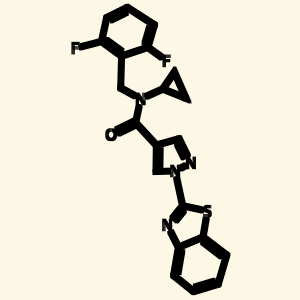 O=C(c1cnn(-c2nc3ccccc3s2)c1)N(Cc1c(F)cccc1F)C1CC1